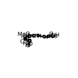 COc1cc(N2CCC(N3CCN(CCC4CCN(c5ccc(N6CCC(=O)NC6=O)cc5)CC4)CC3)CC2)ccc1Nc1ncc(Cl)c(Nc2ccccc2NS(C)(=O)=O)n1